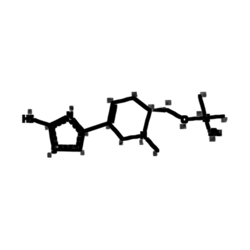 CN1CC(c2csc(S)n2)=CC[C@@H]1CO[Si](C)(C)C(C)(C)C